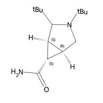 CC(C)(C)C1[C@H]2[C@@H](CN1C(C)(C)C)[C@@H]2C(N)=O